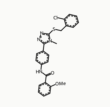 COc1ccccc1C(=O)Nc1ccc(-c2nnc(SCc3ccccc3Cl)n2C)cc1